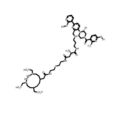 CCOc1ccc(C(=O)N2CCN(c3ccc(-c4cccnc4OCC)nc3CNCCCNC(=O)[C@H](N)CC(=O)NCCOCCNC(=O)CC3CCC(CC(=O)O)CCN(CC(=O)O)NNN(CC(=O)O)CC3)[C@H](CC)C2)c(C(F)(F)F)n1